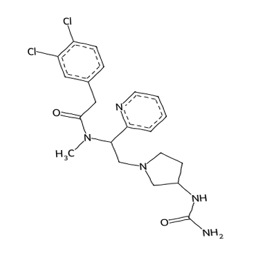 CN(C(=O)Cc1ccc(Cl)c(Cl)c1)C(CN1CCC(NC(N)=O)C1)c1ccccn1